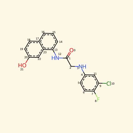 O=C(CNc1ccc(F)c(Cl)c1)Nc1cccc2ccc(O)cc12